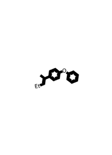 [CH2]CC=C(C)c1ccc(Oc2ccccc2)cc1